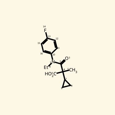 CCN(C(=O)C(C)(C(=O)O)C1CC1)c1ccc(F)cc1